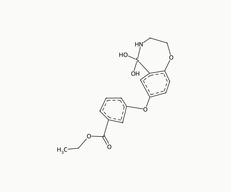 CCOC(=O)c1cccc(Oc2ccc3c(c2)S(O)(O)NCCO3)c1